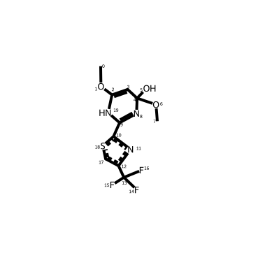 COC1=CC(O)(OC)N=C(c2nc(C(F)(F)F)cs2)N1